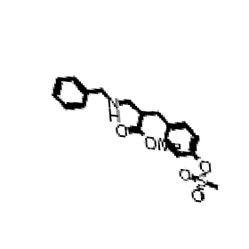 COC(=O)C(CNCc1ccccc1)Cc1ccc(OS(C)(=O)=O)cc1